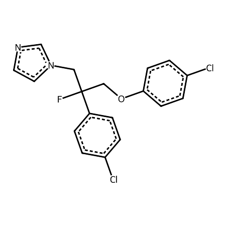 FC(COc1ccc(Cl)cc1)(Cn1ccnc1)c1ccc(Cl)cc1